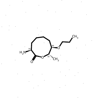 CCCO[C@@H]1CCCC[C@H](N)C(=O)O[C@H]1C